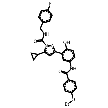 CCOc1ccc(C(=O)Nc2ccc(O)c(-c3cc(C4CC4)n(C(=O)NCc4ccc(F)cc4)n3)c2)cc1